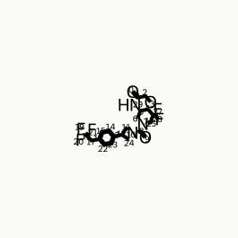 O=C1COC2C(CN(C(=O)N3CC(c4ccc(CC(F)(F)F)cc4)C3)CC2(F)F)N1